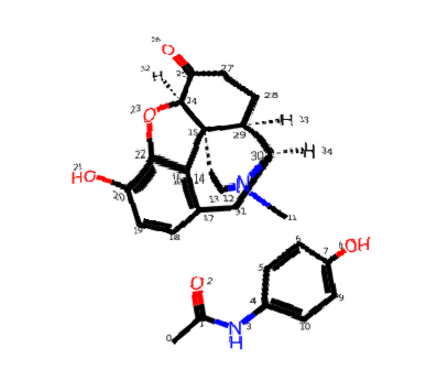 CC(=O)Nc1ccc(O)cc1.CN1CC[C@]23c4c5ccc(O)c4O[C@H]2C(=O)CC[C@H]3[C@H]1C5